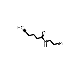 C#CCCCC(=O)NCCC(C)C